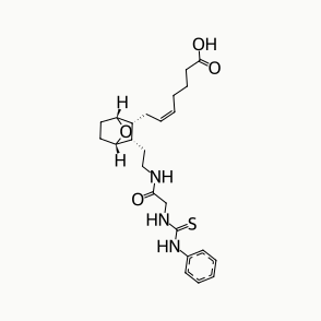 O=C(O)CCC/C=C\C[C@@H]1[C@H](CCNC(=O)CNC(=S)Nc2ccccc2)[C@@H]2CC[C@H]1O2